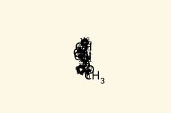 CC(=O)c1ccccc1Oc1cnn(C(CC2CCCC2)C(=O)O)c(=O)c1